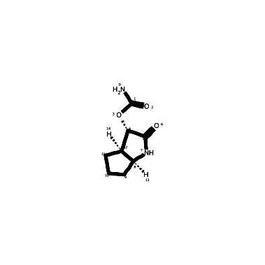 NC(=O)O[C@@H]1C(=O)N[C@H]2CCC[C@H]21